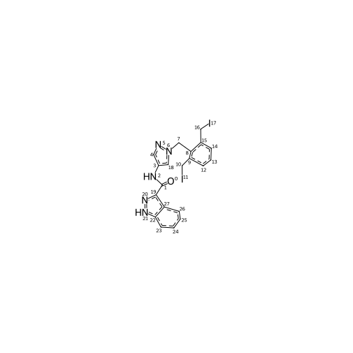 O=C(Nc1cnn(Cc2c(CI)cccc2CI)c1)c1n[nH]c2ccccc12